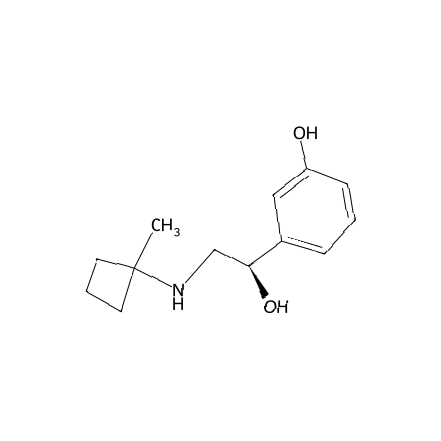 CC1(NC[C@H](O)c2cccc(O)c2)CCC1